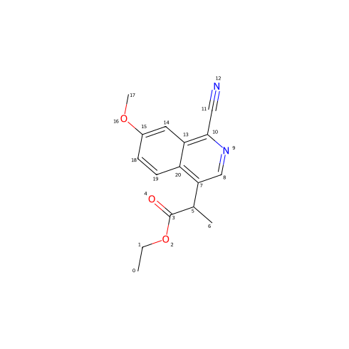 CCOC(=O)C(C)c1cnc(C#N)c2cc(OC)ccc12